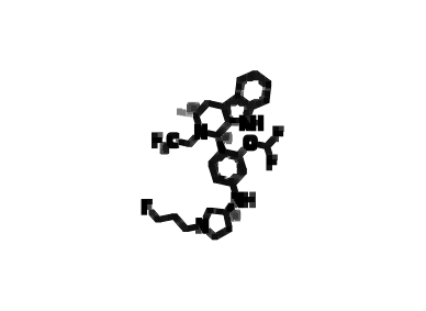 C[C@@H]1Cc2c([nH]c3ccccc23)[C@@H](c2ccc(N[C@H]3CCN(CCCF)C3)cc2OC(F)F)N1CC(F)(F)F